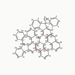 CC1(c2ccccc2)c2ccccc2-c2c(N(c3ccccc3-c3cccc4cccc(-c5ccccc5)c34)c3ccccc3-c3cccc4c5ccccc5n(-c5ccccc5)c34)cccc21